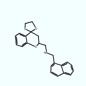 c1ccc2c(c1)OC(CNCc1cccc3ccccc13)CC21OCCO1